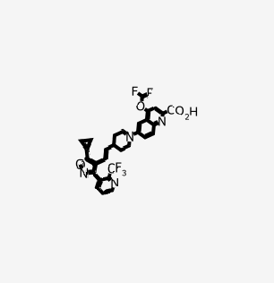 O=C(O)c1cc(OC(F)F)c2cc(N3CCC(/C=C/c4c(-c5cccnc5C(F)(F)F)noc4C4CC4)CC3)ccc2n1